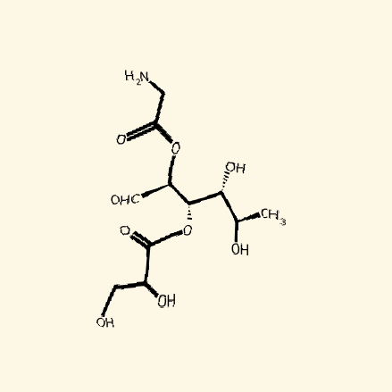 C[C@@H](O)[C@@H](O)[C@H](OC(=O)C(O)CO)[C@@H](C=O)OC(=O)CN